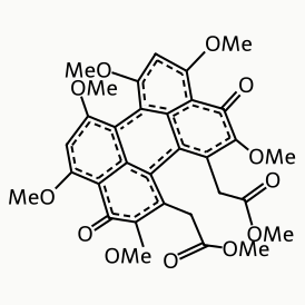 COC(=O)Cc1c(OC)c(=O)c2c(OC)cc(OC)c3c4c(OC)cc(OC)c5c(=O)c(OC)c(CC(=O)OC)c(c1c23)c54